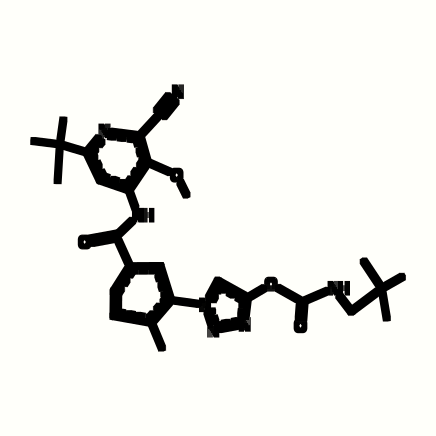 COc1c(NC(=O)c2ccc(C)c(-n3cc(OC(=O)NCC(C)(C)C)nn3)c2)cc(C(C)(C)C)nc1C#N